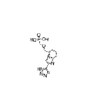 O=P(O)(O)COCc1cccc2nc(-c3nnn[nH]3)cn12